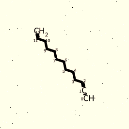 [CH]=C=CCCCCCCCCC=C